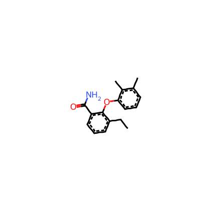 CCc1cccc(C(N)=O)c1Oc1cccc(C)c1C